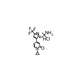 CC(C)(N)Cn1nc(C(F)(F)F)cc1-c1ccn(C2CC2)c(=O)c1.Cl